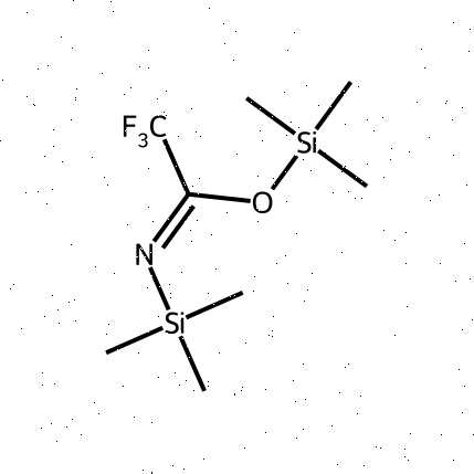 C[Si](C)(C)/N=C(\O[Si](C)(C)C)C(F)(F)F